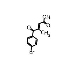 C/C(=C\C(=O)O)C(=O)c1ccc(Br)cc1